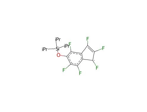 CC(C)[Si](Oc1c(F)c(F)c2c(c1F)C(F)=C(F)[C]2F)(C(C)C)C(C)C